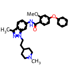 COc1cc(Oc2ccccc2)ccc1C(=O)Nc1ccc2c(C)nn(CCC3CCN(C)CC3)c2c1